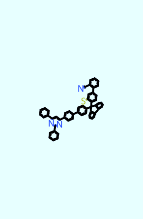 N#Cc1ccccc1-c1ccc2c(c1)Sc1cc(-c3ccc(-c4cc(-c5ccccc5)nc(-c5ccccc5)n4)cc3)ccc1C21c2ccccc2-c2ccccc21